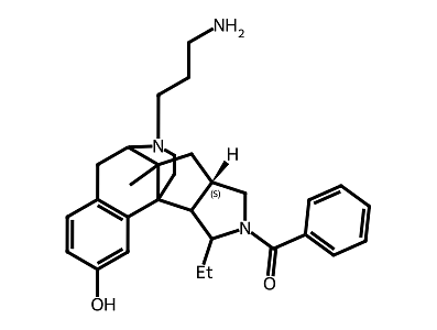 CCC1C2[C@@H](CN1C(=O)c1ccccc1)CC1(C)C3Cc4ccc(O)cc4C21CCN3CCCN